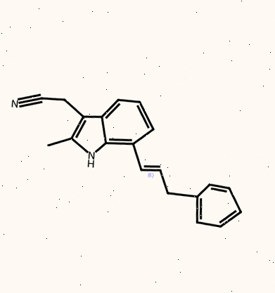 Cc1[nH]c2c(/C=C/Cc3ccccc3)cccc2c1CC#N